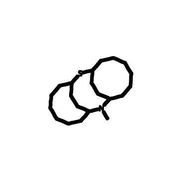 CN1C2CCCCCCC(CC2)SC2CCCCCCC1CC2